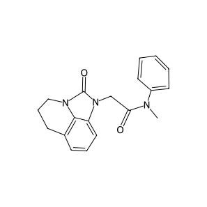 CN(C(=O)Cn1c(=O)n2c3c(cccc31)CCC2)c1ccccc1